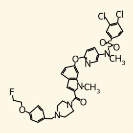 CN(c1ccc(Oc2ccc3cc(C(=O)N4CCN(Cc5ccc(OCCF)cc5)CC4)n(C)c3c2)nc1)S(=O)(=O)c1ccc(Cl)c(Cl)c1